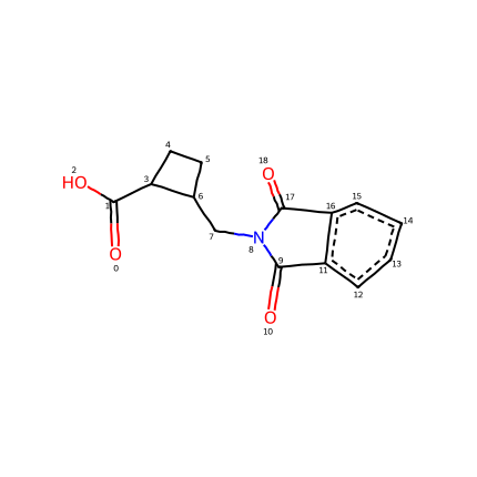 O=C(O)C1CCC1CN1C(=O)c2ccccc2C1=O